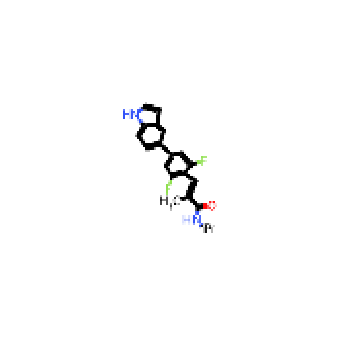 C/C(=C\c1c(F)cc(-c2ccc3[nH]ccc3c2)cc1F)C(=O)NC(C)C